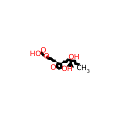 CCCCC(O)(CCC[C@H]1[C@H](O)CC(=O)[C@@H]1CCC=COCC(=O)O)C1CC1